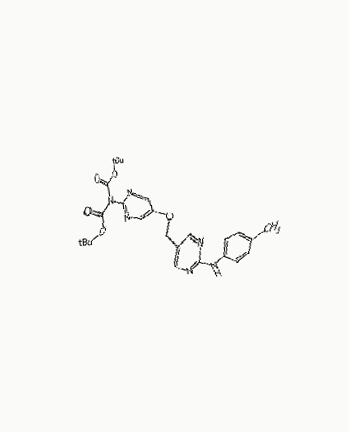 Cc1ccc(Nc2ncc(COc3cnc(N(C(=O)OC(C)(C)C)C(=O)OC(C)(C)C)nc3)cn2)cc1